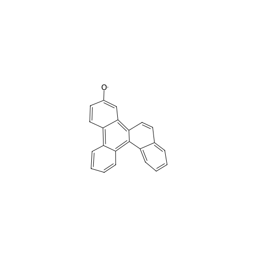 [O]c1ccc2c3ccccc3c3c4ccccc4ccc3c2c1